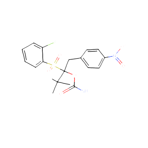 CC(C)(C)C(Cc1ccc([N+](=O)[O-])cc1)(OC(N)=O)S(=O)(=O)c1ccccc1F